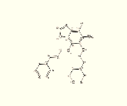 CC(=O)c1c(OCCN2CCOCC2)c(OCC=Cc2ccccc2)c2occc2c1C